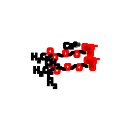 C=C(C)C(=O)OCCOCCOCCS(=O)(=O)[O-].C=C(C)C(=O)OCCOCCOCCS(=O)(=O)[O-].[Ca+2]